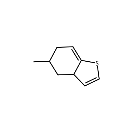 CC1CC=C2SC=CC2C1